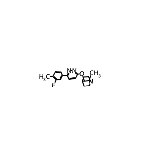 Cc1ccc(-c2ccc(OC3C4CCN(CC4)C3C)nn2)cc1F